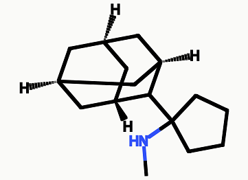 CNC1(C2[C@H]3C[C@H]4C[C@H](C3)C[C@H]2C4)CCCC1